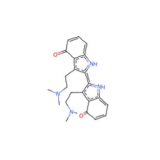 CN(C)CCc1c2c([nH]c1=c1[nH]c3c(c1CCN(C)C)C(=O)C=CC=3)=CC=CC2=O